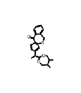 CC1COC(C(C)c2ccc3c(c2)SCc2ccccc2C3=O)OCC1C